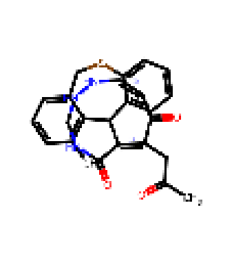 CC(=O)C/C1=C(/C2c3ccccc3SCc3cccc(C)c32)C(=O)NCNN/C=C\C1=O